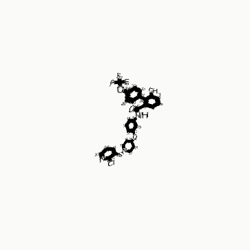 Cc1cccc(C(=O)Nc2cccc(OC3CCN(Sc4cccnc4Cl)CC3)c2)c1-c1ccc(OC(F)(F)F)cc1